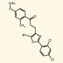 CC(=O)OOc1ccc(C(=O)CCc2nc(-c3ccc(Cl)cc3Cl)oc2C(C)C)c(C)c1